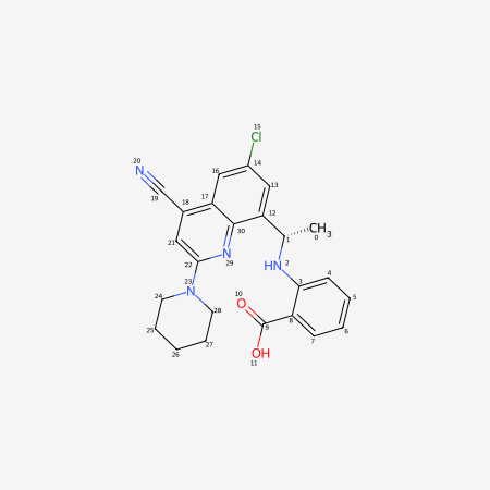 C[C@H](Nc1ccccc1C(=O)O)c1cc(Cl)cc2c(C#N)cc(N3CCCCC3)nc12